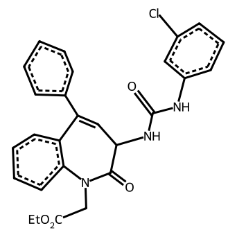 CCOC(=O)CN1C(=O)C(NC(=O)Nc2cccc(Cl)c2)C=C(c2ccccc2)c2ccccc21